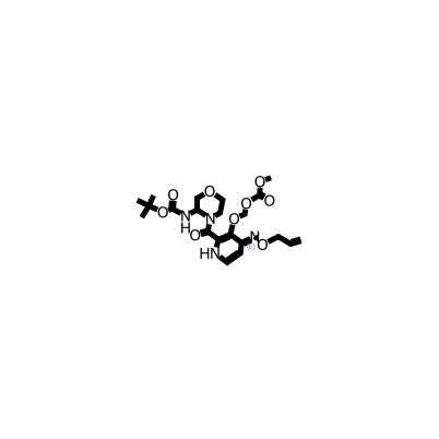 C=CCO/N=c1\cc[nH]c(C(=O)N2CCOCC2NC(=O)OC(C)(C)C)c1OCOC(=O)OC